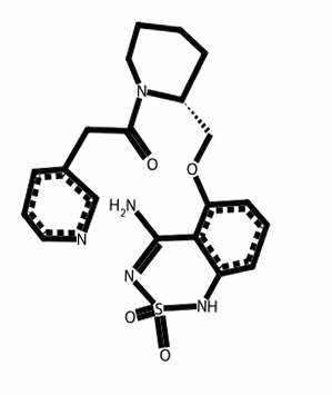 NC1=NS(=O)(=O)Nc2cccc(OC[C@H]3CCCCN3C(=O)Cc3cccnc3)c21